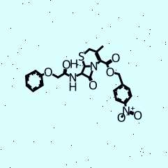 CC1=C(C(=O)OCc2ccc([N+](=O)[O-])cc2)N2C(=O)C(NC(=O)COc3ccccc3)[C@H]2SC1